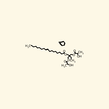 CCCCCCCCC=CCCCCCCCC(=O)OCC(CC)(COC(=O)C(C)O)COC(=O)C(C)O.c1ccc2c(c1)C2